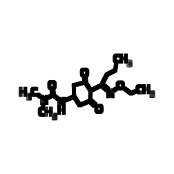 CCC/C(=N\OCC)C1C(=O)CC(NC(=O)N(C)C)CC1=O